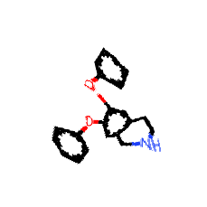 c1ccc(Oc2cc3c(cc2Oc2ccccc2)CNCC3)cc1